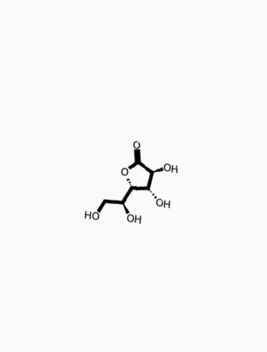 O=C1O[C@@H]([C@@H](O)CO)[C@@H](O)[C@@H]1O